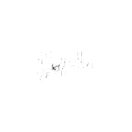 COC(=O)Nc1ccc(-c2c[nH]c(C(Cc3ccc(F)cc3)c3ccc(-c4c(C#N)ccc(Cl)c4F)c[n+]3OC)n2)cc1